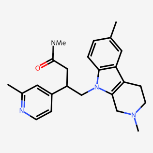 CNC(=O)CC(Cn1c2c(c3cc(C)ccc31)CCN(C)C2)c1ccnc(C)c1